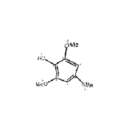 CNc1cc(OC)c(O)c(OC)c1